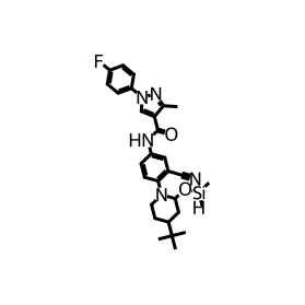 Cc1nn(-c2ccc(F)cc2)cc1C(=O)Nc1ccc(N2CCC(C(C)(C)C)CC2O[SiH](C)C)c(C#N)c1